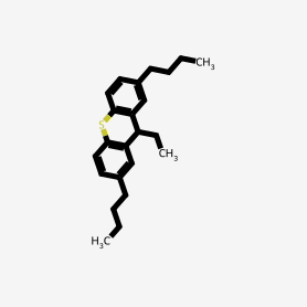 CCCCc1ccc2c(c1)C(CC)c1cc(CCCC)ccc1S2